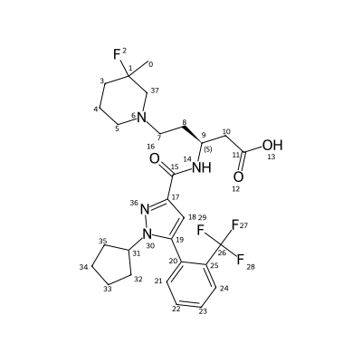 CC1(F)CCCN(CC[C@@H](CC(=O)O)NC(=O)c2cc(-c3ccccc3C(F)(F)F)n(C3CCCC3)n2)C1